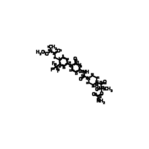 CON(C)C(=O)Cc1ccc(-n2ccc(NC(=O)N3CCN(C(=O)C(C)(C)OC(N)=O)CC3)nc2=O)cc1C(F)(F)F